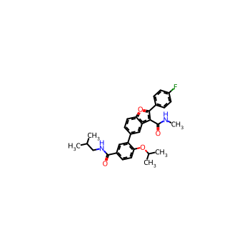 CNC(=O)c1c(-c2ccc(F)cc2)oc2ccc(-c3cc(C(=O)NCC(C)C)ccc3OC(C)C)cc12